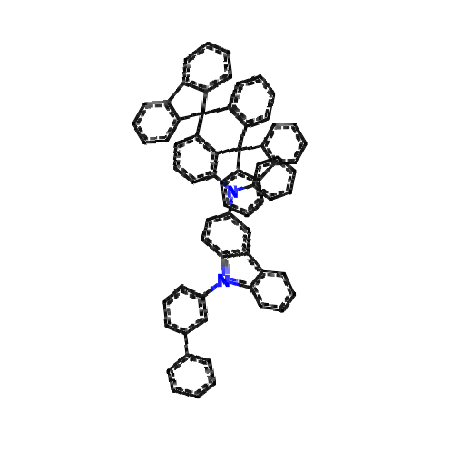 c1ccc(-c2cccc(-n3c4ccccc4c4cc(N(c5ccccc5)c5cccc6c5C5(c7ccccc7-c7ccccc75)c5ccccc5C65c6ccccc6-c6ccccc65)ccc43)c2)cc1